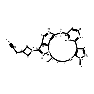 CC1CCOc2c(cnn2C)-c2nccc(n2)Nc2cc3c(cn2)c(N2CC(CC#N)C2)nn31